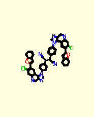 N#CC(c1ccc(-n2cnc3cnc4cc(Cl)c(-c5cc6ccccc6o5)cc4c32)cc1)C(C#N)c1ccc(-n2cnc3cnc4cc(Cl)c(-c5cc6ccccc6o5)cc4c32)cc1